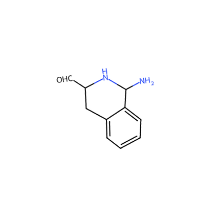 NC1NC(C=O)Cc2ccccc21